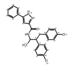 CC(NC(=O)c1cc(-c2ccccc2)[nH]n1)C(Cc1ccc(Cl)cc1)c1ccc(Cl)cc1